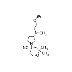 CC(C)OCCN(C)[C@H]1CCN(C2(C#N)CCOC(C)(C)C2)C1